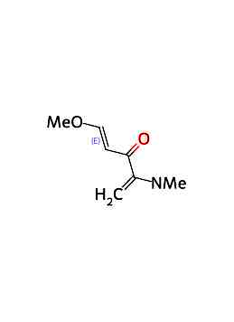 C=C(NC)C(=O)/C=C/OC